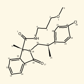 COCCCNC(=O)[C@@]1(C)c2ccccc2C(=O)N1C[C@H](C)c1ccc(Cl)cc1